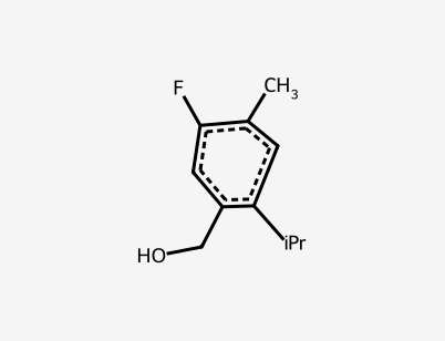 Cc1cc(C(C)C)c(CO)cc1F